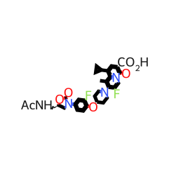 CC(=O)NC[C@H]1CN(c2ccc(OC3CCN(c4c(F)cn5c(=O)c(C(=O)O)cc(C6CC6)c5c4C)CC3)c(F)c2)C(=O)O1